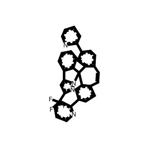 FC(F)(F)c1cc2n(n1)C1(c3cc(-c4ccccn4)ccc3C=Cc3ccc(-c4ccccn4)cc31)c1ccccc1-2